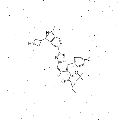 CCOC(=O)[C@@H](OC(C)(C)C)c1c(C)cc2nc(-c3ccc4c(c3)c(C3CNC3)nn4C)sc2c1-c1ccc(Cl)cc1